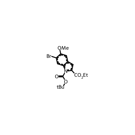 CCOC(=O)c1cc2cc(OC)c(Br)cc2n1C(=O)OC(C)(C)C